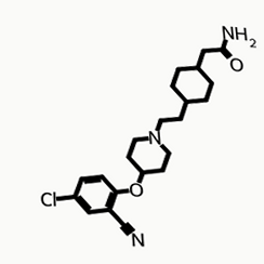 N#Cc1cc(Cl)ccc1OC1CCN(CCC2CCC(CC(N)=O)CC2)CC1